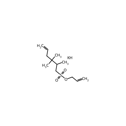 C=CCOS(=O)(=O)CC(C)C(C)(C)CC=C.[KH]